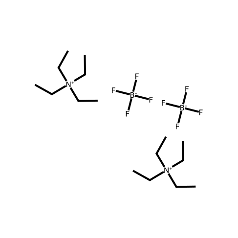 CC[N+](CC)(CC)CC.CC[N+](CC)(CC)CC.F[B-](F)(F)F.F[B-](F)(F)F